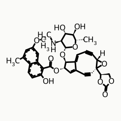 CN[C@@H]1[C@@H](O[C@H]2/C3=C/C#C[C@@H]4O[C@]4([C@H]4COC(=O)O4)C#CC3=C[C@@H]2OC(=O)c2c(O)ccc3c(C)cc(OC)cc23)O[C@@H](C)[C@H](O)[C@H]1O